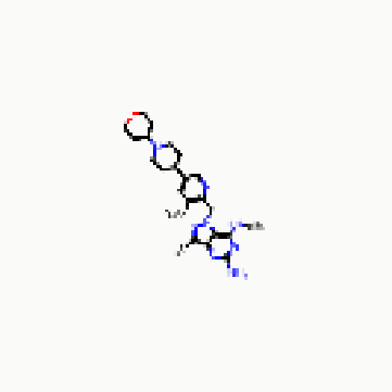 CCCCNc1nc(N)nc2c(C)nn(Cc3ncc(C4CCN(C5CCOCC5)CC4)cc3OC)c12